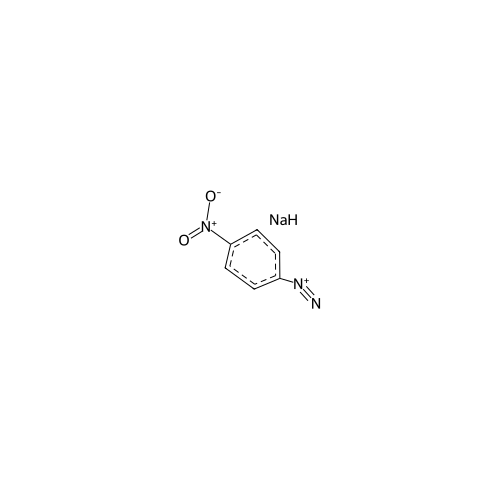 N#[N+]c1ccc([N+](=O)[O-])cc1.[NaH]